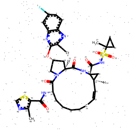 CCc1nc2ccc(F)cc2nc1O[C@@H]1C[C@H]2C(=O)N[C@]3(C(=O)NS(=O)(=O)C4(C)CC4)C[C@H]3/C=C\CCCCC[C@H](NC(=O)c3scnc3C)C(=O)N2C1